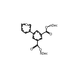 CCCCCCCCCCOC(=O)c1cc(C(=O)OCCCCCCCCCC)cc(-c2cc[c]cc2)c1